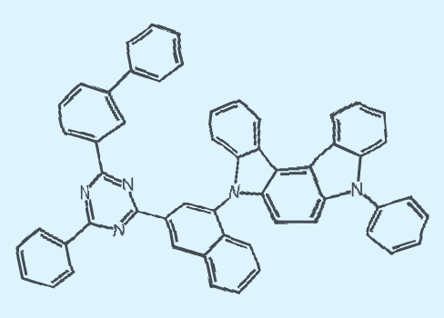 c1ccc(-c2cccc(-c3nc(-c4ccccc4)nc(-c4cc(-n5c6ccccc6c6c7c8ccccc8n(-c8ccccc8)c7ccc65)c5ccccc5c4)n3)c2)cc1